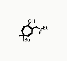 CCN(C)CC1=C(O)C=CC(C)(C(C)(C)C)C=C1